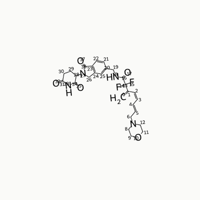 C=C(/C=C\C=C\CN1CCOCC1)C(F)(F)C(=O)NCc1ccc2c(c1)CN(C1CCC(=O)NC1=O)C2=O